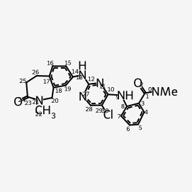 CNC(=O)c1ccccc1Nc1nc(Nc2ccc3c(c2)CN(C)C(=O)CC3)ncc1Cl